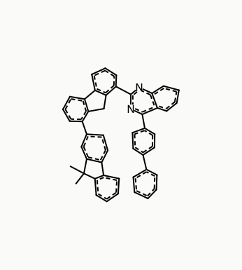 CC1(C)c2ccccc2-c2ccc(-c3cccc4c3Cc3c(-c5nc(-c6ccc(-c7ccccc7)cc6)c6ccccc6n5)cccc3-4)cc21